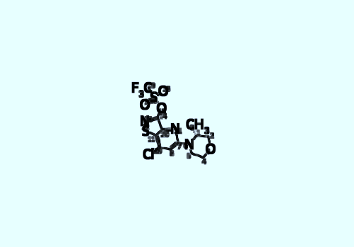 C[C@@H]1COCCN1c1cc(Cl)c2snc(OS(=O)(=O)C(F)(F)F)c2n1